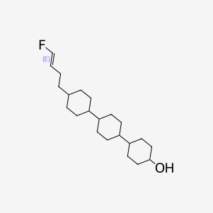 OC1CCC(C2CCC(C3CCC(CC/C=C/F)CC3)CC2)CC1